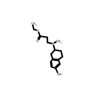 CCOC(=O)CCN(C)C1CCc2cc(O)ccc2C1